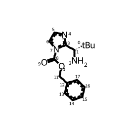 CC(C)(C)[C@H](N)c1nccn1C(=O)OCc1ccccc1